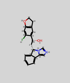 O[C@H](C[C@H]1c2ccccc2-c2cncn21)c1cc2c(cc1F)OCC2